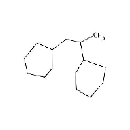 CC(CC1CC[CH]CC1)C1CCCCC1